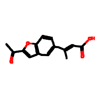 CC(=O)c1cc2cc(C(C)=CC(=O)O)ccc2o1